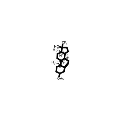 CC(=O)OC1CC[C@@]2(C)C(=CC[C@@H]3[C@H]2CC[C@@]2(C)[C@H]3CCC2(O)C(F)(F)F)C1